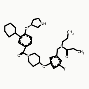 CCCN(Cc1cc(F)cc(OC2CCN(C(=O)c3ccc(O[C@H]4CCNC4)c(C4CCCCC4)c3)CC2)c1)C(=O)CC